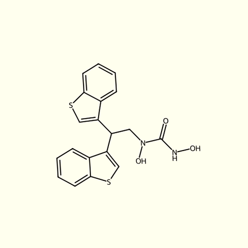 O=C(NO)N(O)CC(c1csc2ccccc12)c1csc2ccccc12